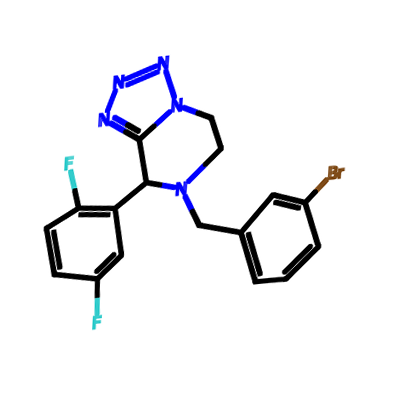 Fc1ccc(F)c(C2c3nnnn3CCN2Cc2cccc(Br)c2)c1